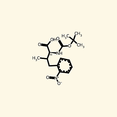 CC(Cc1ccccc1[N+](=O)[O-])[C@H](NC(=O)OC(C)(C)C)C(=O)O